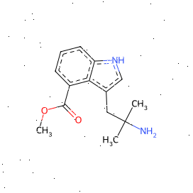 COC(=O)c1cccc2[nH]cc(CC(C)(C)N)c12